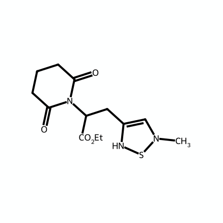 CCOC(=O)C(CC1=CN(C)SN1)N1C(=O)CCCC1=O